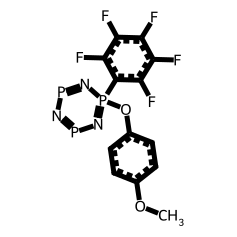 COc1ccc(OP2(c3c(F)c(F)c(F)c(F)c3F)=NP=NP=N2)cc1